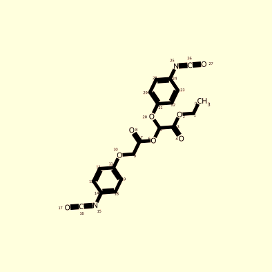 CCOC(=O)C(OC(=O)COc1ccc(N=C=O)cc1)Oc1ccc(N=C=O)cc1